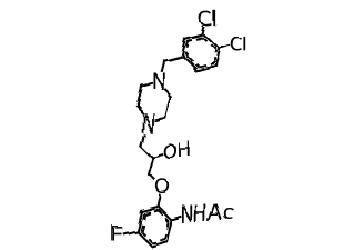 CC(=O)Nc1ccc(F)cc1OCC(O)CN1CCN(Cc2ccc(Cl)c(Cl)c2)CC1